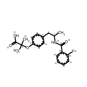 CC(Cc1ccc(OC(C)(C)C(=O)O)cc1)NC(=O)c1ccccc1F